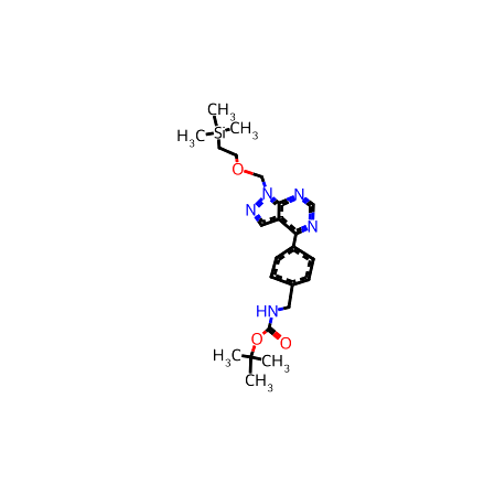 CC(C)(C)OC(=O)NCc1ccc(-c2ncnc3c2cnn3COCC[Si](C)(C)C)cc1